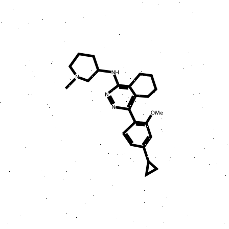 COc1cc(C2CC2)ccc1-c1nnc(NC2CCCN(C)C2)c2c1CCCC2